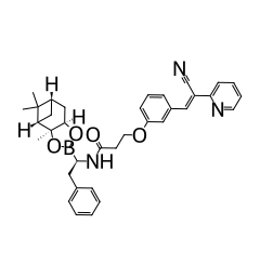 CC1(C)[C@@H]2C[C@H]3OB([C@H](Cc4ccccc4)NC(=O)CCOc4cccc(C=C(C#N)c5ccccn5)c4)O[C@@]3(C)[C@H]1C2